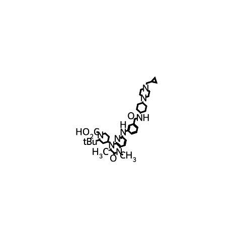 C[C@@H]1C(=O)N(C)c2ccc(Nc3cccc(C(=O)N[C@H]4CC[C@H](N5CCN(CC6CC6)CC5)CC4)c3)nc2N1C1CCN(C(=O)O)C(C(C)(C)C)C1